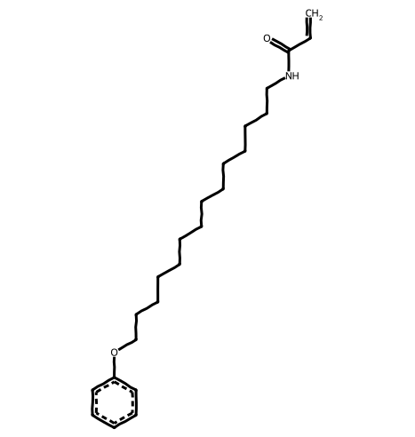 C=CC(=O)NCCCCCCCCCCCCCCOc1ccccc1